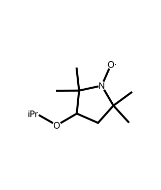 CC(C)OC1CC(C)(C)N([O])C1(C)C